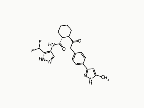 Cc1cc(-c2ccc(CC(=O)[C@@H]3CCCC[C@H]3C(=O)Nc3cn[nH]c3C(F)F)cc2)n[nH]1